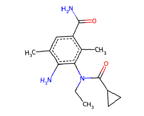 CCN(C(=O)C1CC1)c1c(C)c(C(N)=O)cc(C)c1N